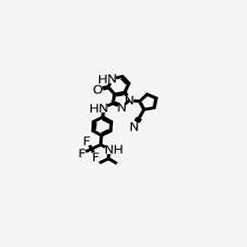 CC(C)NC(c1ccc(Nc2nn(C3CCCC3C#N)c3cc[nH]c(=O)c23)cc1)C(F)(F)F